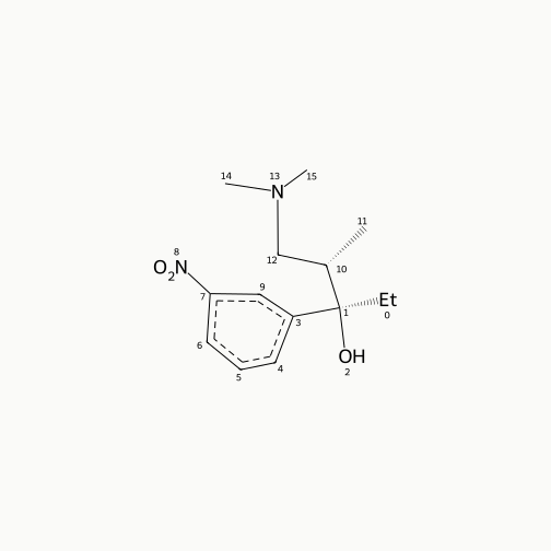 CC[C@](O)(c1cccc([N+](=O)[O-])c1)[C@@H](C)CN(C)C